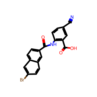 N#Cc1ccc(NC(=O)c2ccc3cc(Br)ccc3c2)c(C(=O)O)c1